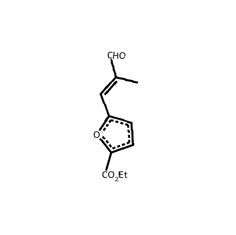 CCOC(=O)c1ccc(/C=C(\C)C=O)o1